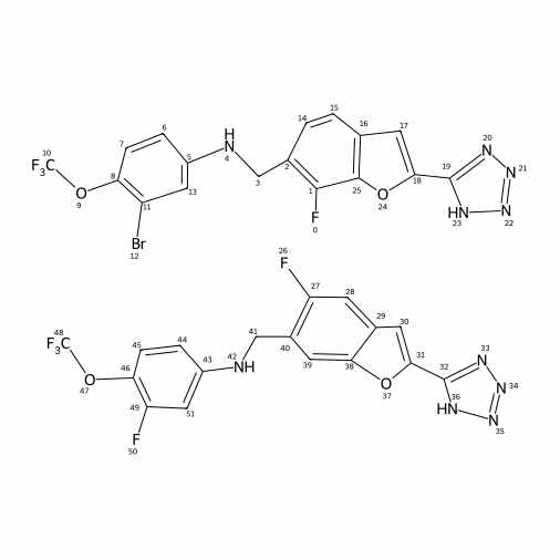 Fc1c(CNc2ccc(OC(F)(F)F)c(Br)c2)ccc2cc(-c3nnn[nH]3)oc12.Fc1cc2cc(-c3nnn[nH]3)oc2cc1CNc1ccc(OC(F)(F)F)c(F)c1